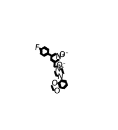 [O-][n+]1cc(C[N+]2([O-])CCN(c3cccc4c3OCCO4)CC2)cc(-c2ccc(F)cc2)c1